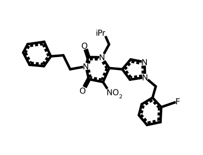 CC(C)Cn1c(-c2cnn(Cc3ccccc3F)c2)c([N+](=O)[O-])c(=O)n(CCc2ccccc2)c1=O